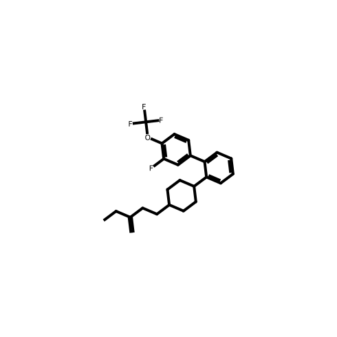 C=C(CC)CCC1CCC(c2ccccc2-c2ccc(OC(F)(F)F)c(F)c2)CC1